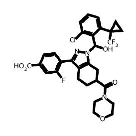 O=C(O)c1ccc(-c2nn(C(O)c3c(Cl)cccc3C3(C(F)(F)F)CC3)c3c2CCC(C(=O)N2CCOCC2)C3)c(F)c1